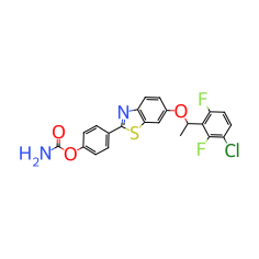 CC(Oc1ccc2nc(-c3ccc(OC(N)=O)cc3)sc2c1)c1c(F)ccc(Cl)c1F